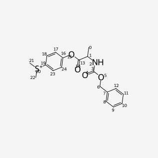 CC(NC(=O)OCc1ccccc1)C(=O)Oc1ccc([S+](C)C)cc1